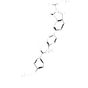 CCCCCc1ccc(C(=O)Nc2ccc(-c3ccc4c(c3)C(=O)N(C(C(=O)O)C(C)C)C4)cc2)cc1